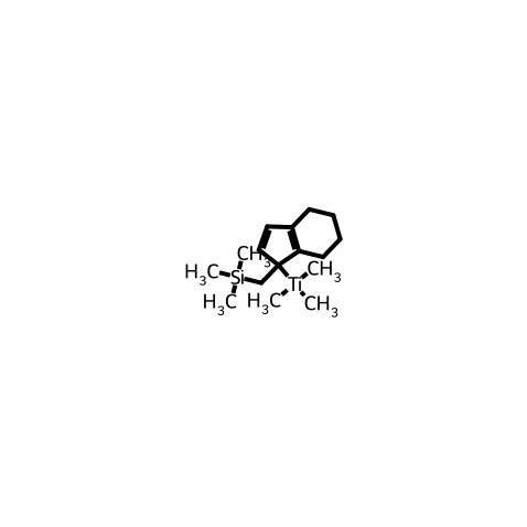 C[Si](C)(C)C[C]1([Ti]([CH3])([CH3])[CH3])C=CC2=C1CCCC2